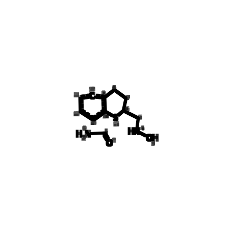 NC=O.ONCC1CCc2ccccc2S1